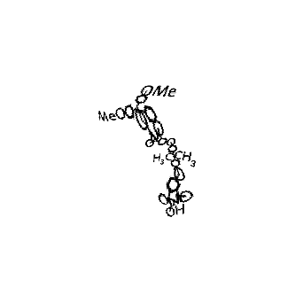 COc1ccc(C(OCCN2C(=O)c3ccc(Oc4ccc(C(C)(C)c5ccc(Oc6ccc7c(c6)C(=O)N(CCO)C7=O)cc5)cc4)cc3C2=O)(c2ccccc2)c2ccc(OC)cc2)cc1